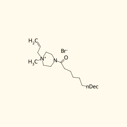 C=CC[N+]1(C)CCN(C(=O)CCCCCCCCCCCCCCC)CC1.[Br-]